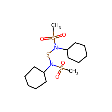 CS(=O)(=O)N(SN(C1CCCCC1)S(C)(=O)=O)C1CCCCC1